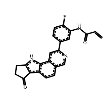 C=CC(=O)Nc1cc(-c2cc3c(ccc4c5c([nH]c43)CCC5=O)cn2)ccc1F